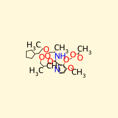 COc1ccnc(C(=O)N[C@@H](C)C(=O)O[C@@H](C)[C@H](OCC(C)C)C2CCCC2)c1OCOC(C)=O